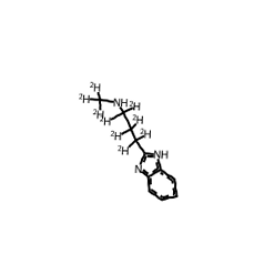 [2H]C([2H])([2H])NC([2H])([2H])C([2H])([2H])C([2H])([2H])c1nc2ccccc2[nH]1